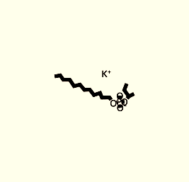 CCCCCCCCCCCCOP(=O)([O-])OC(C)CC.[K+]